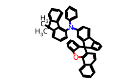 CC1(C)c2ccccc2-c2c(N(c3ccccc3)c3ccc4c(c3)C3(c5ccccc5Oc5c3ccc3ccccc53)c3ccccc3-4)cccc21